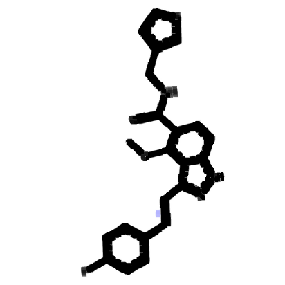 COc1c(C(=O)NCc2ccsc2)ccc2[nH]nc(/C=C/c3ccc(F)cc3)c12